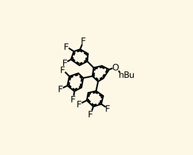 CCCCOc1cc(-c2cc(F)c(F)c(F)c2)c(-c2cc(F)c(F)c(F)c2)c(-c2cc(F)c(F)c(F)c2)c1